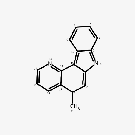 CC1C=C2N=c3ccccc3=C2c2ncccc21